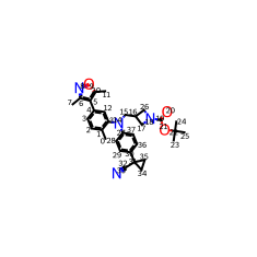 Cc1ccc(-c2c(C)noc2C)cc1N(CC1CN(C(=O)OC(C)(C)C)C1)c1ccc(C2(C#N)CC2)cc1